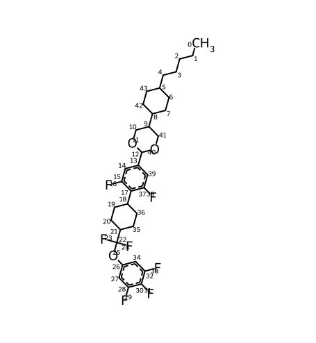 CCCCCC1CCC(C2COC(c3cc(F)c(C4CCC(C(F)(F)Oc5cc(F)c(F)c(F)c5)CC4)c(F)c3)OC2)CC1